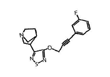 Fc1cccc(C#CCOc2nsnc2C2CN3CCC2C3)c1